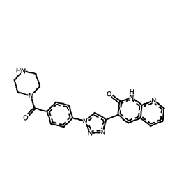 O=C(c1ccc(-n2cc(-c3cc4cccnc4[nH]c3=O)nn2)cc1)N1CCNCC1